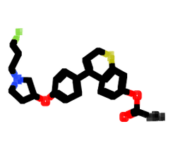 CCCCC(=O)Oc1ccc2c(c1)SCC=C2c1ccc(OC2CCN(CCCF)C2)cc1